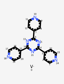 [V].c1cc(-c2nc(-c3ccncc3)nc(-c3ccncc3)n2)ccn1